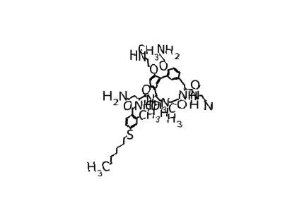 CCCCCCCSc1ccc(C(=O)N[C@@H](CCN)C(=O)N(C)C2C(=O)N[C@@H](C)C(=O)NC(C(=O)NCC#N)Cc3ccc(OCCN)c(c3)-c3cc2ccc3OCCNC)c(C)c1